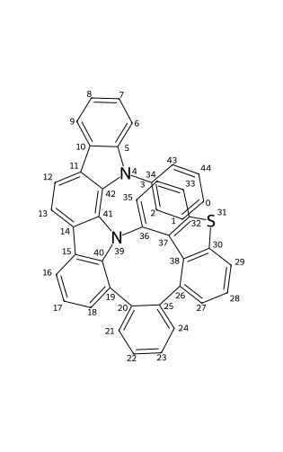 c1ccc(-n2c3ccccc3c3ccc4c5cccc6c7ccccc7c7cccc8sc9cccc(c9c87)n(c65)c4c32)cc1